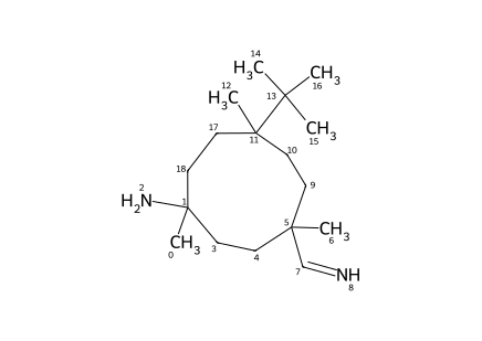 CC1(N)CCC(C)(C=N)CCC(C)(C(C)(C)C)CC1